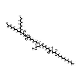 CCCCCCCCCCCOC(=O)CNC(=O)CCCCCN(CCO)CCCCCCCC(=O)NCC(=O)OC(CCCCCCCC)CCCCCCCC